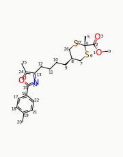 COC(=O)[C@]1(C)SC[C@@H](CCCCc2nc(-c3ccc(C)cc3)oc2C)CS1